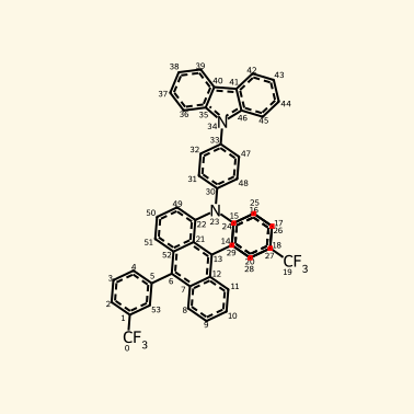 FC(F)(F)c1cccc(-c2c3ccccc3c(-c3cccc(C(F)(F)F)c3)c3c(N(c4ccccc4)c4ccc(-n5c6ccccc6c6ccccc65)cc4)cccc23)c1